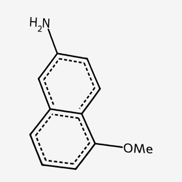 COc1cccc2cc(N)ccc12